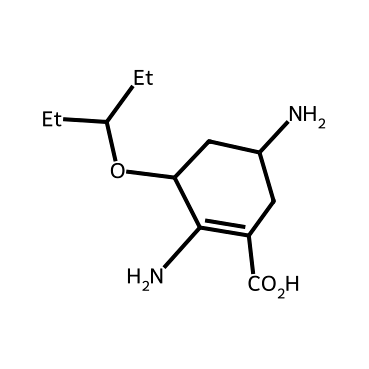 CCC(CC)OC1CC(N)CC(C(=O)O)=C1N